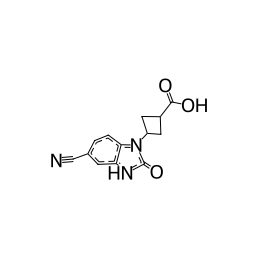 N#Cc1ccc2c(c1)[nH]c(=O)n2C1CC(C(=O)O)C1